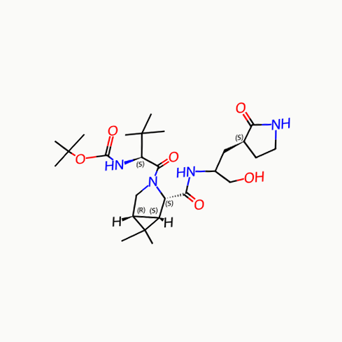 CC(C)(C)OC(=O)N[C@H](C(=O)N1C[C@@H]2[C@H]([C@H]1C(=O)NC(CO)C[C@@H]1CCNC1=O)C2(C)C)C(C)(C)C